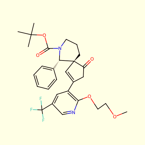 COCCOc1ncc(C(F)(F)F)cc1C1=C[C@@]2(CCCN(C(=O)OC(C)(C)C)[C@H]2c2ccccc2)C(=O)C1